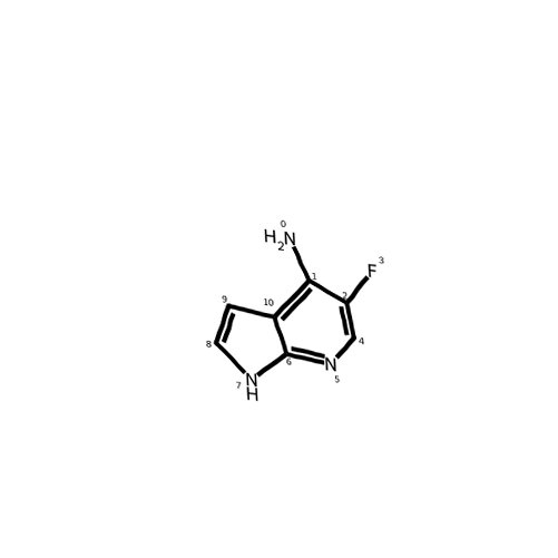 Nc1c(F)cnc2[nH]ccc12